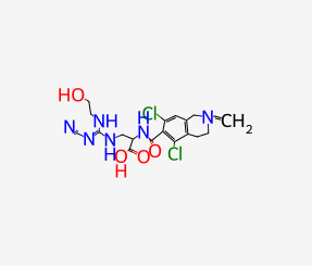 C=CN1CCc2c(cc(Cl)c(C(=O)NC(CN/C(=N/C#N)NCCO)C(=O)O)c2Cl)C1